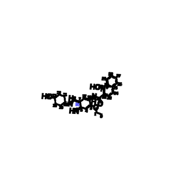 CCOC1=CC(=N)/C(=C\N[C@H]2CC[C@H](O)CC2)C=C1NC(=O)c1ccc2ccccc2[n+]1O